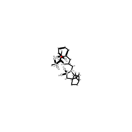 C=Cc1ccccc1CC(CN1C2CC3CCC2(CS1(=O)=O)C3(C)C)N=C(S(C)(=O)=O)S(C)(=O)=O